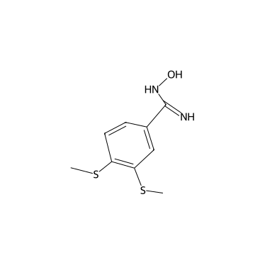 CSc1ccc(C(=N)NO)cc1SC